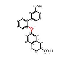 CSc1cccc(-c2ccccc2Oc2ccc3c(c2)CC(C(=O)O)CC3)c1